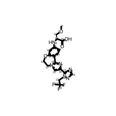 COC[C@H](Nc1ccc2c(c1)OCCn1cc(-c3ncnn3CC(F)(F)F)nc1-2)C(=O)O